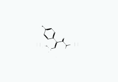 CC(C)C(=O)C(=CN(C)C)c1ccc(Cl)cc1